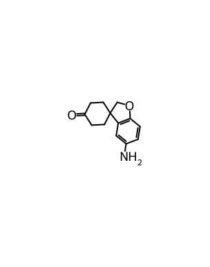 Nc1ccc2c(c1)C1(CCC(=O)CC1)CO2